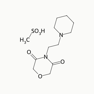 CS(=O)(=O)O.O=C1COCC(=O)N1CCN1CCCCC1